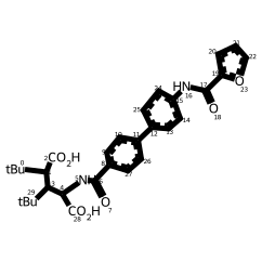 CC(C)(C)C(C(=O)O)C(C(NC(=O)c1ccc(-c2ccc(NC(=O)c3ccco3)cc2)cc1)C(=O)O)C(C)(C)C